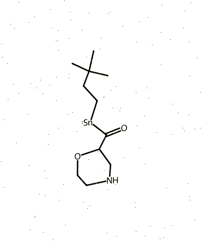 CC(C)(C)C[CH2][Sn][C](=O)C1CNCCO1